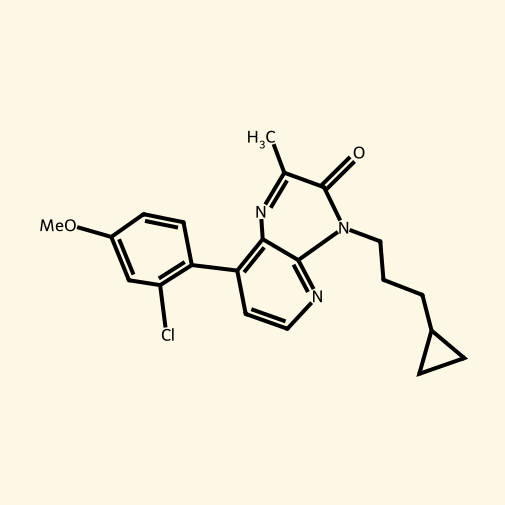 COc1ccc(-c2ccnc3c2nc(C)c(=O)n3CCCC2CC2)c(Cl)c1